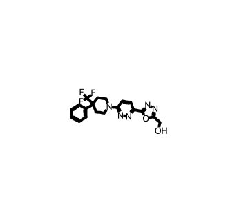 OCc1nnc(-c2ccc(N3CCC(c4ccccc4)(C(F)(F)F)CC3)nn2)o1